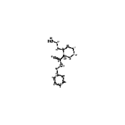 O=C(OCc1ccccc1)N1CCCCC1CCO